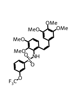 COc1cc(/C=C\c2ccc(OC)c(OC)c2NS(=O)(=O)c2cccc(OC(F)(F)F)c2)cc(OC)c1OC